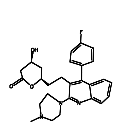 CN1CCN(c2nc3ccccc3c(-c3ccc(F)cc3)c2CC[C@@H]2C[C@H](O)CC(=O)O2)CC1